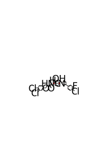 O=C(COc1ccc(Cl)c(Cl)c1)NC12CCC(n3ccc(-c4ccc(Cl)c(F)c4)c3)(CC1)C[C@@H]2O